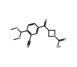 COC(OC)c1ccc(C(=O)C2CN(C(=O)O)C2)cc1C#N